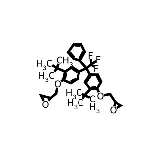 CC(C)(C)c1cc(C(c2ccccc2)(c2ccc(OCC3CO3)c(C(C)(C)C)c2)C(F)(F)F)ccc1OCC1CO1